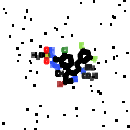 Cn1nc(NS(C)(=O)=O)c2c(Cl)ccc(-c3cc(Br)cnc3C(Cc3cc(F)cc(F)c3)N(C(=O)O)C(C)(C)C)c21